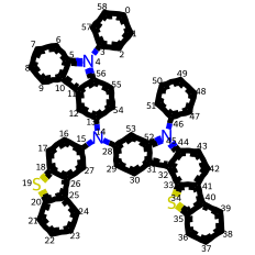 c1ccc(-n2c3ccccc3c3cc(N(c4ccc5sc6ccccc6c5c4)c4ccc5c6c7sc8ccccc8c7ccc6n(-c6ccccc6)c5c4)ccc32)cc1